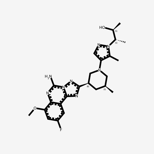 COc1cc(F)cc2c1nc(N)n1nc([C@@H]3C[C@H](C)CN(c4cnn([C@@H](C)[C@H](C)O)c4C)C3)nc21